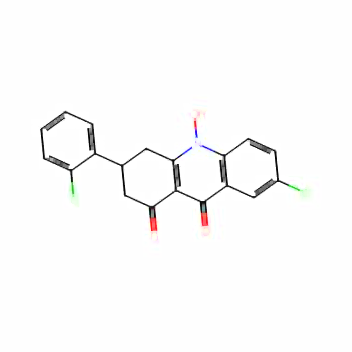 O=C1CC(c2ccccc2Cl)Cc2c1c(=O)c1cc(Cl)ccc1n2O